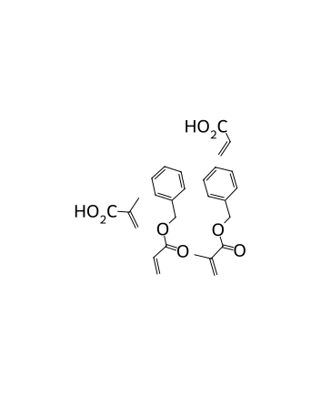 C=C(C)C(=O)O.C=C(C)C(=O)OCc1ccccc1.C=CC(=O)O.C=CC(=O)OCc1ccccc1